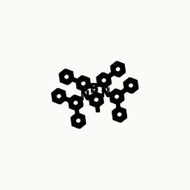 Cc1cc2c3c(c1)N(c1cc(-c4ccccc4)cc(-c4ccccc4)c1)c1cc(-c4ccccc4)ccc1B3c1ccc(-c3ccccc3)cc1N2c1cc(-c2ccccc2)cc(-c2ccccc2)c1